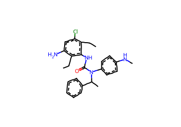 CCc1c(N)cc(Cl)c(CC)c1NC(=O)N(c1ccc(NC)cc1)C(C)c1ccccc1